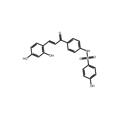 O=C(C=Cc1ccc(O)cc1O)c1ccc(NS(=O)(=O)c2ccc(O)cc2)cc1